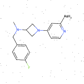 CN(Cc1ccc(F)cc1)C1CN(c2ccnc([AsH2])c2)C1